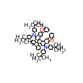 CC(C)(C)c1ccc(N(c2ccc(C(C)(C)C)cc2)c2cc3c(c4cc5c(cc24)oc2ccccc25)-c2c(cc(N(c4ccc(C(C)(C)C)cc4)c4ccc(C(C)(C)C)cc4)c4cc5oc6ccccc6c5cc24)C32c3ccccc3-c3ccccc32)cc1